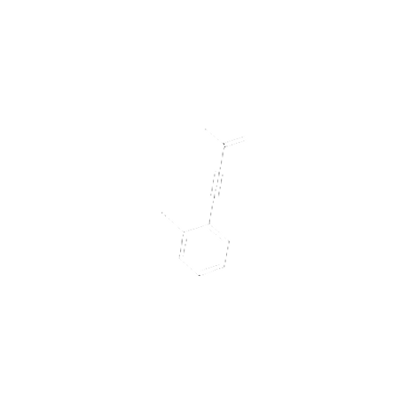 O=C(Cl)C#Cc1ccccc1[N+](=O)[O-]